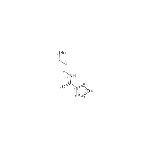 CC(C)(C)CCCNC(=O)c1ccoc1